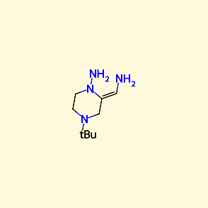 CC(C)(C)N1CCN(N)/C(=C\N)C1